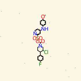 COc1ccc(Nc2ccnc(S(=O)(=O)OC(=O)N3CCC(c4ccc(F)cc4)C(Cl)C3)c2)cc1